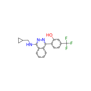 Oc1cc(C(F)(F)F)ccc1-c1nnc(NCC2CC2)c2ccccc12